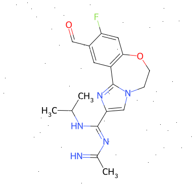 CC(=N)/N=C(\NC(C)C)c1cn2c(n1)-c1cc(C=O)c(F)cc1OCC2